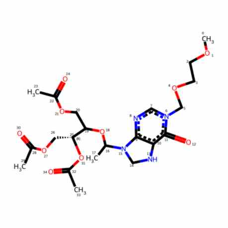 COCCOCn1cnc2c(c1=O)NCN2C(C)OC(COC(C)=O)[C@@H](COC(C)=O)OC(C)=O